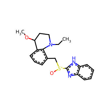 CCN1CCC(OC)c2cccc(C[S+]([O-])c3nc4ccccc4[nH]3)c21